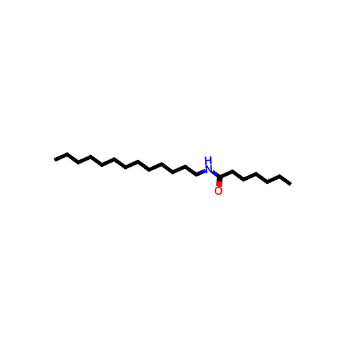 CCCCCCCCCCCCCNC(=O)CCCCCC